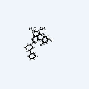 Cc1nc2cc(N3CCOC(c4ccccn4)C3)nc(-c3ccc(Cl)cc3F)c2c(=O)n1C